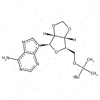 CC(C)(C)[Si](C)(C)OC[C@H]1O[C@@H](n2cnc3c(N)ncnc32)[C@@H]2OCO[C@@H]21